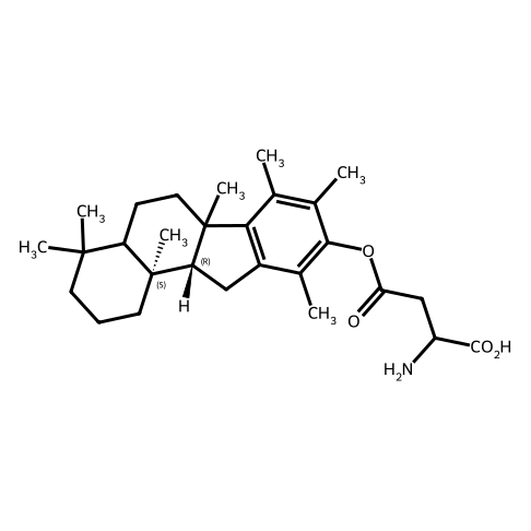 Cc1c(C)c2c(c(C)c1OC(=O)CC(N)C(=O)O)C[C@H]1C2(C)CCC2C(C)(C)CCC[C@@]21C